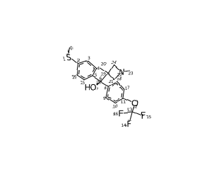 CSc1ccc([C@@](O)(c2ccc(OC(F)(F)F)cc2)C2(C)CN(C)C2)cc1